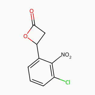 O=C1CC(c2cccc(Cl)c2[N+](=O)[O-])O1